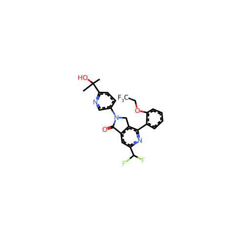 CC(C)(O)c1ccc(N2Cc3c(cc(C(F)F)nc3-c3ccccc3OCC(F)(F)F)C2=O)cn1